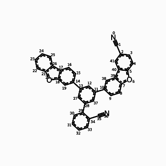 N#Cc1ccc2oc3ccc(-c4cc(-c5ccc6c(c5)oc5ccccc56)cc(-c5ccccc5C#N)c4)cc3c2c1